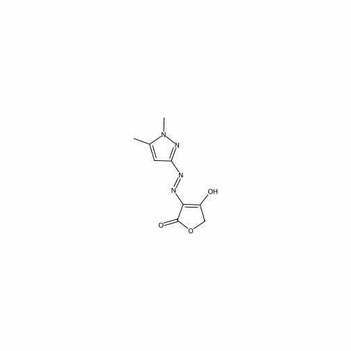 Cc1cc(N=NC2=C(O)COC2=O)nn1C